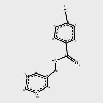 CCc1ccc(C(=O)NCc2cncnc2)cc1